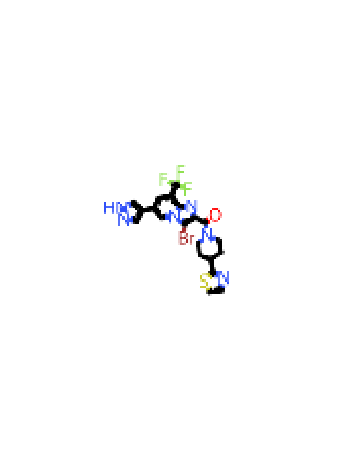 O=C(c1nc2c(C(F)(F)F)cc(-c3cn[nH]c3)cn2c1Br)N1CCC(c2nccs2)CC1